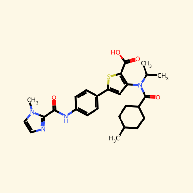 CC1CCC(C(=O)N(c2cc(-c3ccc(NC(=O)c4nccn4C)cc3)sc2C(=O)O)C(C)C)CC1